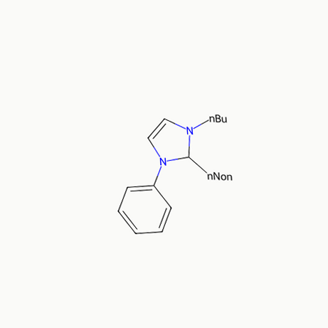 CCCCCCCCCC1N(CCCC)C=CN1c1ccccc1